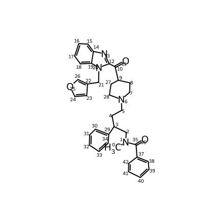 CN(CC(CCN1CCC(C(=O)c2nc3ccccc3n2Cc2ccoc2)CC1)c1ccccc1)C(=O)c1ccccc1